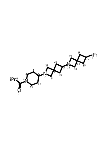 CC(C)C(=O)N1CCC(N2CC3(CC(N4CC5(CC(C(C)C)C5)C4)C3)C2)CC1